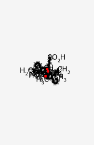 C=CC(=O)OC(C)C1=C(N2CCCCC2)CC(C)(C)C(C(CCCCCCCC(=O)O)(C(=O)O)C2C(C)(C)CC(N3CCCCC3)=C(C(C)OC(=O)C=C)C2(C)C)C1(C)C